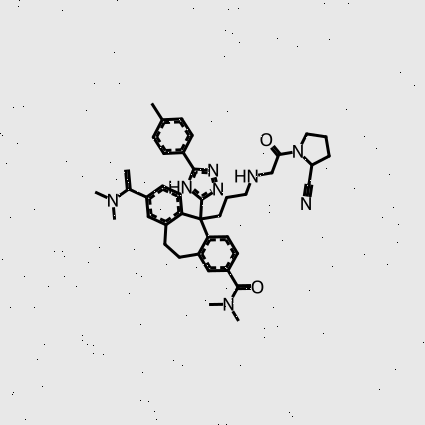 C=C(c1ccc2c(c1)CCc1cc(C(=O)N(C)C)ccc1C2(CCCNCC(=O)N1CCCC1C#N)c1nnc(-c2ccc(C)cc2)[nH]1)N(C)C